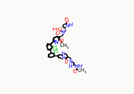 COc1nc(-c2cccc(-c3cccc(-c4ccn5c(=O)c(CNCCNC(C)=O)cnc5c4)c3Cl)c2Cl)ccc1CN(C[C@@H]1CCC(=O)N1)C(=O)O